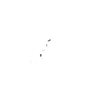 O.[O]=[Cr][O][Cr]=[O]